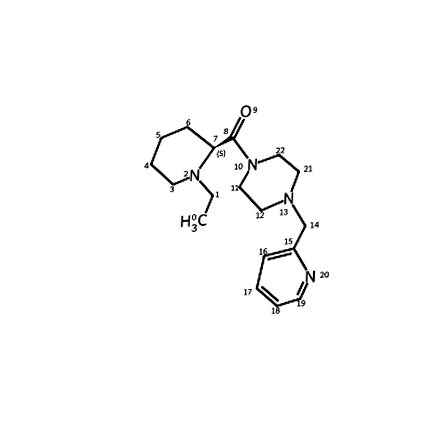 CCN1CCCC[C@H]1C(=O)N1CCN(Cc2ccccn2)CC1